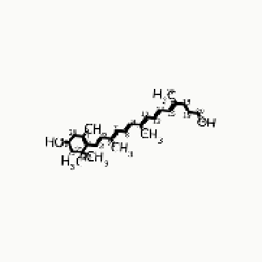 CC1=C(/C=C/C(C)=C/C=C/C(C)=C/C=C/C=C(\C)CCCO)C(C)(C)CC(O)C1